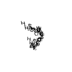 CC(O)COc1ncnc(N2CCC(Oc3ccc(C(C)C(=O)NCC(F)(F)F)cc3)C2)c1Cl